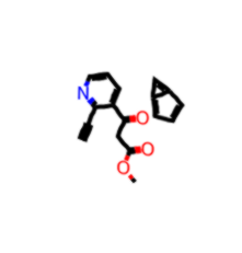 C#Cc1ncccc1C(=O)CC(=O)OC.c1cc2cc-2c1